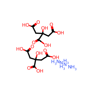 N.N.N.N.O=C(O)CC(O)(CC(=O)O)C(=O)O.O=C(O)CC(O)(CC(=O)O)C(=O)O